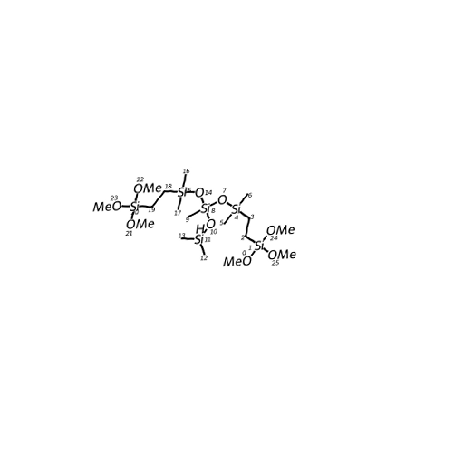 CO[Si](CC[Si](C)(C)O[Si](C)(O[SiH](C)C)O[Si](C)(C)CC[Si](OC)(OC)OC)(OC)OC